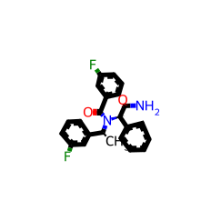 C[C@H](c1cccc(F)c1)N(C(=O)c1cccc(F)c1)[C@@H](C(N)=O)c1ccccc1